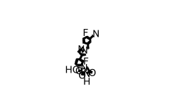 N#Cc1cc(Cn2cc(-c3ccc(O)c(N4CC(=O)NS4(=O)=O)c3F)cn2)ccc1F